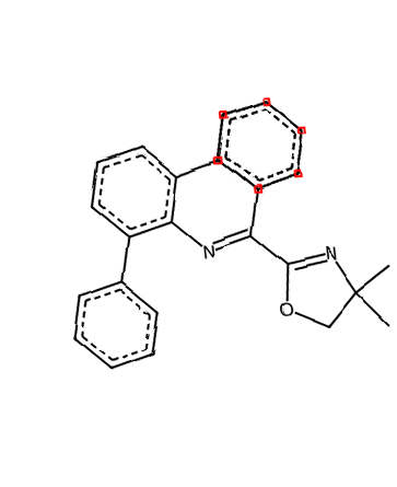 CC1(C)COC(/C(=N/c2c(-c3ccccc3)cccc2-c2ccccc2)c2ccccc2)=N1